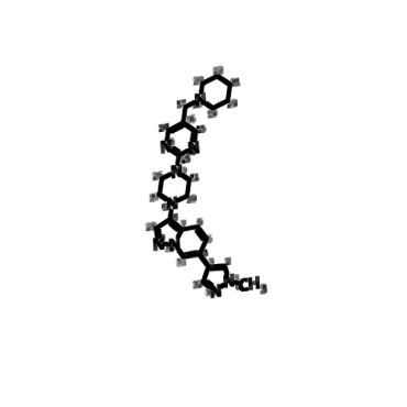 Cn1cc(-c2ccc3c(N4CCN(c5ncc(CN6CCCCC6)cn5)CC4)cnn3c2)cn1